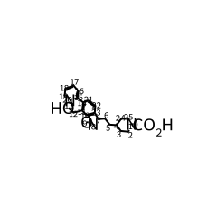 O=C(O)N1CCC(CCc2noc3c(CO)c(-c4ccccn4)ccc23)CC1